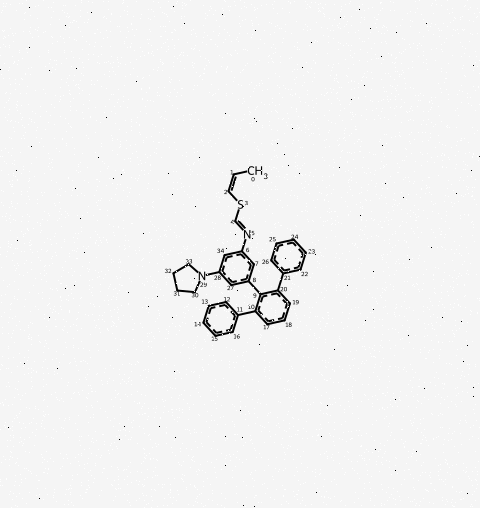 C/C=C\S/C=N/c1cc(-c2c(-c3ccccc3)cccc2-c2ccccc2)cc(N2CCCC2)c1